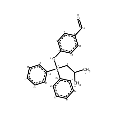 CC(C)C[Si](Oc1ccc(C=O)cc1)(c1ccccc1)c1ccccc1